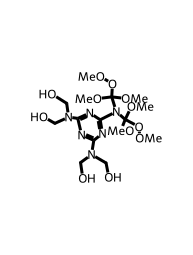 COOC(OC)(OC)N(c1nc(N(CO)CO)nc(N(CO)CO)n1)C(OC)(OC)OOC